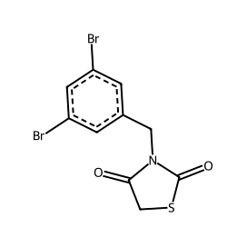 O=C1CSC(=O)N1Cc1cc(Br)cc(Br)c1